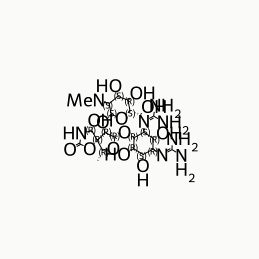 CN[C@@H]1[C@H](O[C@H]2[C@H](O[C@H]3[C@H](O)[C@@H](O)[C@H](N=C(N)N)[C@@H](O)[C@@H]3N=C(N)N)O[C@H](C)[C@@]23OC(=O)N[C@@H]3O)O[C@@H](CO)[C@H](O)[C@H]1O